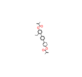 C=C(C)C(=O)OC1=CC=C(c2ccc(-c3ccc(OC(=O)C(=C)C)cc3CC)cc2)CC1